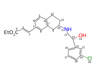 CCOC(=O)C=Cc1ccc2c(c1)CC(NCC(O)c1cccc(Cl)c1)CC2